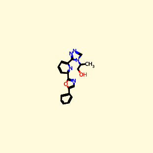 CC(CO)n1cnnc1-c1cccc(-c2ncc(-c3ccccc3)o2)n1